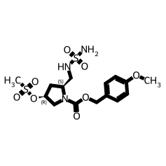 COc1ccc(COC(=O)N2C[C@H](OS(C)(=O)=O)C[C@H]2CNS(N)(=O)=O)cc1